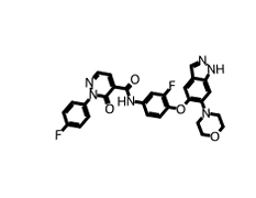 O=C(Nc1ccc(Oc2cc3cn[nH]c3cc2N2CCOCC2)c(F)c1)c1ccnn(-c2ccc(F)cc2)c1=O